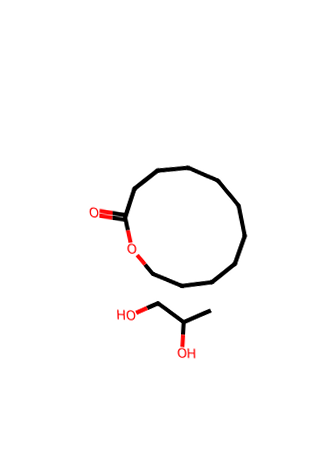 CC(O)CO.O=C1CCCCCCCCCCO1